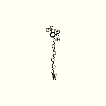 [N-]=[N+]=NCCOCCOCCOCCOCCNc1ccc([N+](=O)[O-])c2nonc12